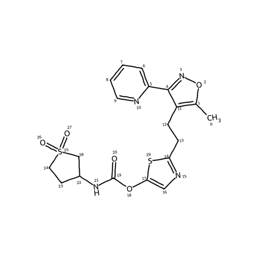 Cc1onc(-c2ccccn2)c1CCc1ncc(OC(=O)NC2CCS(=O)(=O)C2)s1